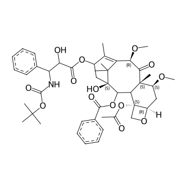 CO[C@H]1C(=O)[C@@]2(C)C(C(OC(=O)c3ccccc3)[C@]3(O)CC(OC(=O)C(O)C(NC(=O)OC(C)(C)C)c4ccccc4)C(C)=C1C3(C)C)[C@]1(OC(C)=O)CO[C@@H]1C[C@@H]2OC